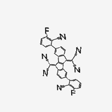 N#CC(C#N)=C1C2=C(C(=C(C#N)C#N)c3ccc(-c4cccc(F)c4C#N)cc32)c2cc(-c3cccc(F)c3C#N)ccc21